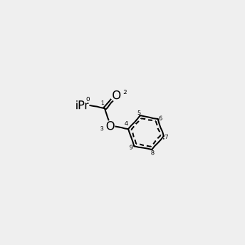 CC(C)C(=O)Oc1cc[c]cc1